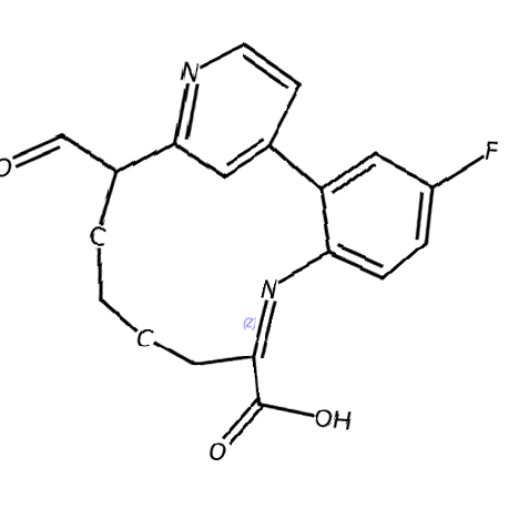 O=CC1CCCC/C(C(=O)O)=N/c2ccc(F)cc2-c2ccnc1c2